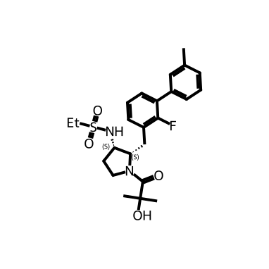 CCS(=O)(=O)N[C@H]1CCN(C(=O)C(C)(C)O)[C@H]1Cc1cccc(-c2cccc(C)c2)c1F